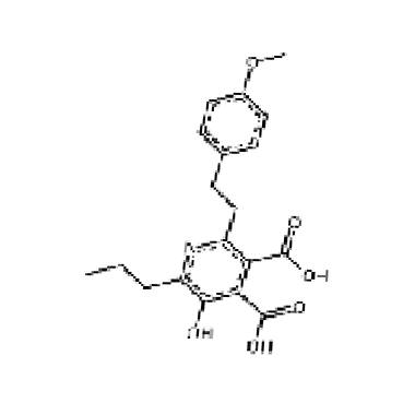 CCCc1nc(CCc2ccc(OC)cc2)c(C(=O)O)c(C(=O)O)c1O